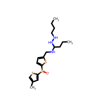 CCCCNNC(CCC)NCc1ccc([S+]([O-])c2cc(C)cs2)s1